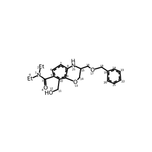 CCN(CC)C(=O)c1ccc2c(c1CO)OCC(COCc1ccccc1)N2